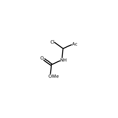 COC(=O)NC(Cl)C(C)=O